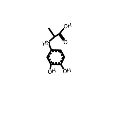 CC(Nc1ccc(O)c(O)c1)C(=O)O